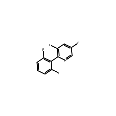 Fc1cnc(-c2c(F)cccc2F)c(F)c1